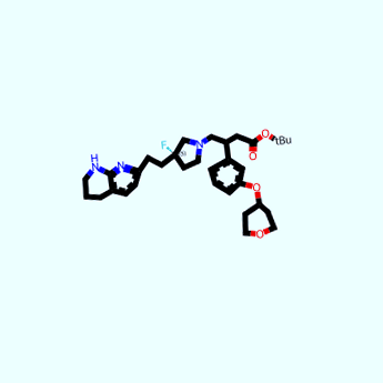 CC(C)(C)OC(=O)CC(CN1CC[C@@](F)(CCc2ccc3c(n2)NCCC3)C1)c1cccc(OC2CCOCC2)c1